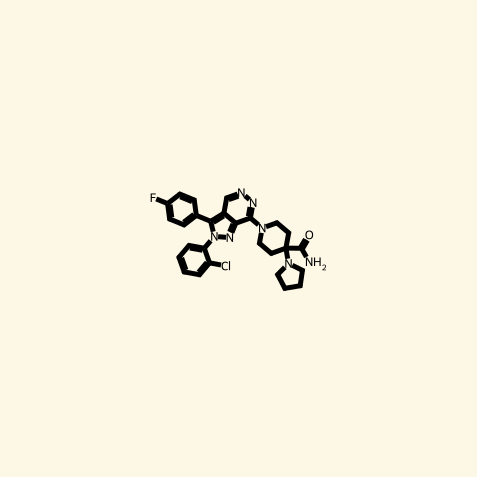 NC(=O)C1(N2CCCC2)CCN(c2nncc3c(-c4ccc(F)cc4)n(-c4ccccc4Cl)nc23)CC1